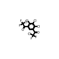 O=C(c1cc(C(=O)C(F)(F)Cl)c(Cl)c(Cl)c1Cl)C(F)(F)Cl